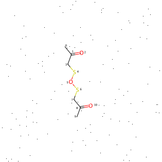 CC(=O)CSOSCC(C)=O